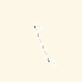 C=CCOCCOCCOCCOCCOCC=C